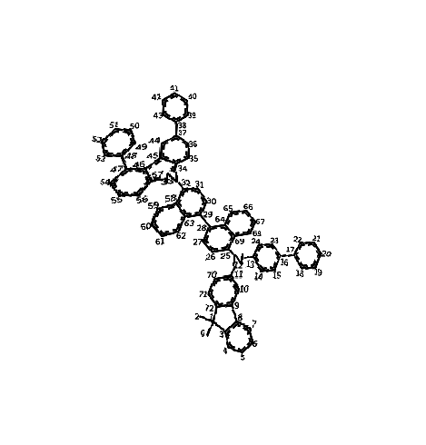 CC1(C)c2ccccc2-c2cc(N(c3ccc(-c4ccccc4)cc3)c3ccc(-c4ccc(-n5c6ccc(-c7ccccc7)cc6c6c(-c7ccccc7)cccc65)c5ccccc45)c4ccccc34)ccc21